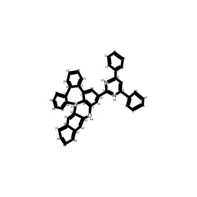 c1ccc(-c2cc(-c3ccccc3)nc(-c3cc4c5c(c3)-c3ccccc3-c3ccccc3N5c3cc5ccccc5cc3O4)n2)cc1